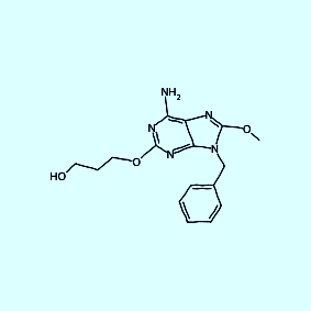 COc1nc2c(N)nc(OCCCO)nc2n1Cc1ccccc1